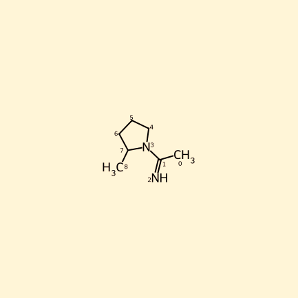 CC(=N)N1CCCC1C